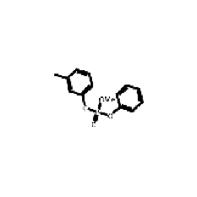 COP(=O)(Oc1ccccc1)Oc1cccc(C)c1